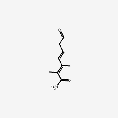 CC(/C=C/CC=O)=C(/C)C(N)=O